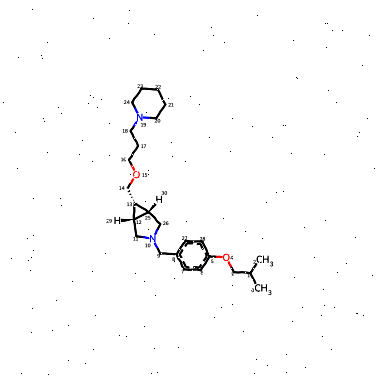 CC(C)COc1ccc(CN2C[C@@H]3[C@H](COCCCN4CCCCC4)[C@@H]3C2)cc1